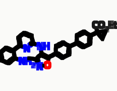 CCOC(=O)C1(c2ccc(-c3ccc(-c4onc(C)c4Nc4cccc(-c5ccccc5N)n4)cc3)cc2)CC1